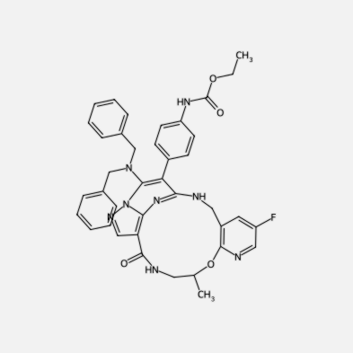 CCOC(=O)Nc1ccc(-c2c3nc4c(cnn4c2N(Cc2ccccc2)Cc2ccccc2)C(=O)NCC(C)Oc2ncc(F)cc2CN3)cc1